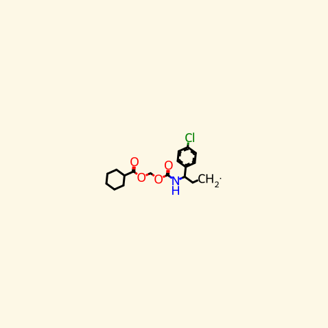 [CH2]CC(NC(=O)OCOC(=O)C1CCCCC1)c1ccc(Cl)cc1